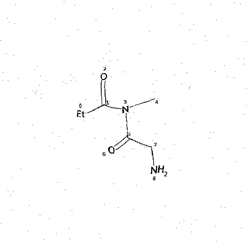 CCC(=O)N(C)C(=O)CN